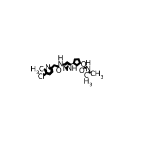 Cc1nc(CC(=O)Nc2cc([C@H]3CC[C@@H](OC(=O)NC(C)C)C3)[nH]n2)ccc1Cl